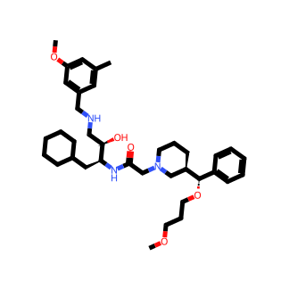 COCCCO[C@@H](c1ccccc1)[C@@H]1CCCN(CC(=O)N[C@@H](CC2CCCCC2)[C@H](O)CNCc2cc(C)cc(OC)c2)C1